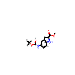 COC(=O)c1cc2cc(NC(=O)OC(C)(C)C)ccc2[nH]1